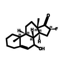 C[C@]12CCCCC1=CC(O)[C@@H]1[C@@H]2CC[C@]2(C)C(=O)[C@H](F)C[C@@H]12